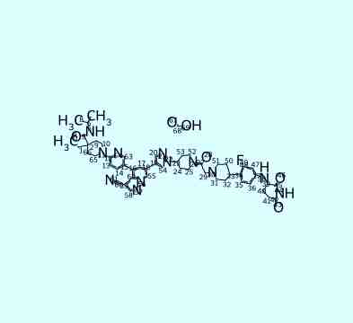 CCC1(C(=O)NC(C)C)CCN(c2ccc(-c3cc(-c4cnn(C5CCN(C(=O)CN6CCC(c7ccc(NC8CCC(=O)NC8=O)cc7F)CC6)CC5)c4)cn4ncc(C#N)c34)cn2)CC1.O=CO